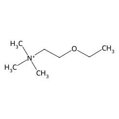 CCOCC[N+](C)(C)C